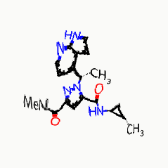 CNC(=O)c1cc(C(=O)N[C@H]2C[C@@H]2C)n([C@@H](C)c2ccnc3[nH]ccc23)n1